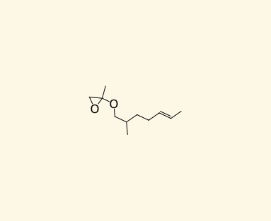 CC=CCCC(C)COC1(C)CO1